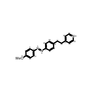 COc1ccc(N=Nc2ccc(C[CH]c3ccncc3)cc2)cc1